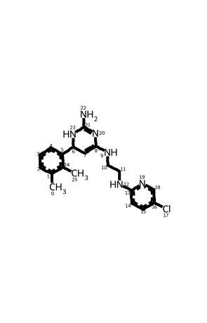 Cc1cccc(C2C=C(NCCNc3ccc(Cl)cn3)N=C(N)N2)c1C